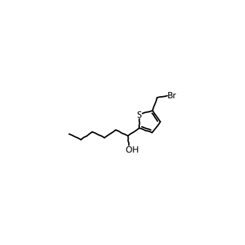 CCCCCC(O)c1ccc(CBr)s1